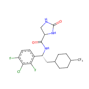 O=C1NCC(C(=O)N[C@H](CC2CCC(C(F)(F)F)CC2)c2ccc(F)c(Cl)c2F)N1